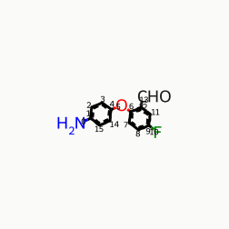 Nc1ccc(Oc2ccc(F)cc2C=O)cc1